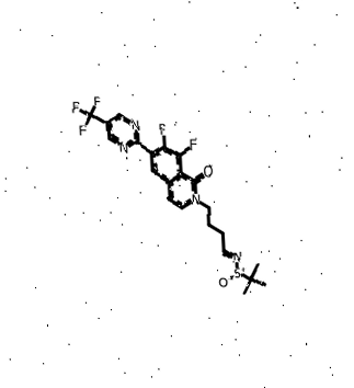 CC(C)(C)[S@@+]([O-])/N=C/CCCn1ccc2cc(-c3ncc(C(F)(F)F)cn3)c(F)c(F)c2c1=O